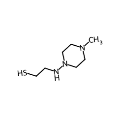 CN1CCN(NCCS)CC1